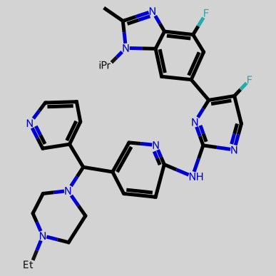 CCN1CCN(C(c2cccnc2)c2ccc(Nc3ncc(F)c(-c4cc(F)c5nc(C)n(C(C)C)c5c4)n3)nc2)CC1